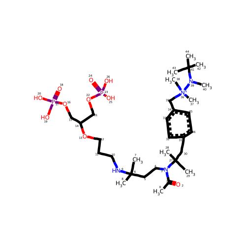 CC(=O)N(CCC(C)(C)NCCCOC(COP(=O)(O)O)COP(=O)(O)O)C(C)(C)Cc1ccc(C[N+](C)(C)N(C)C(C)(C)C)cc1